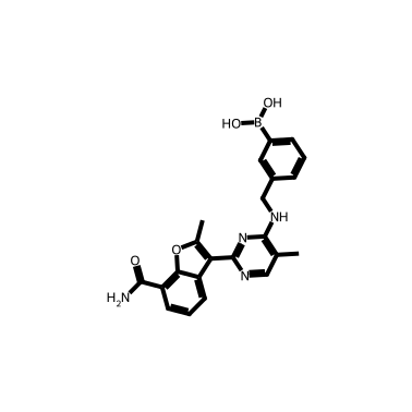 Cc1cnc(-c2c(C)oc3c(C(N)=O)cccc23)nc1NCc1cccc(B(O)O)c1